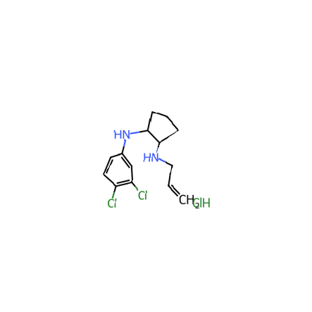 C=CCNC1CCCC1Nc1ccc(Cl)c(Cl)c1.Cl